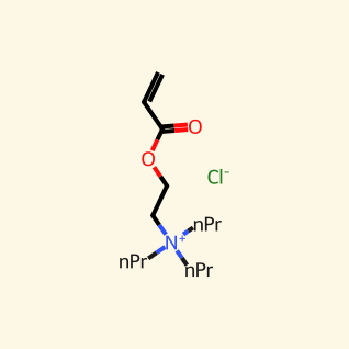 C=CC(=O)OCC[N+](CCC)(CCC)CCC.[Cl-]